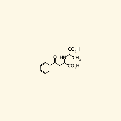 C[C@H](N[C@H](CC(=O)c1ccccc1)C(=O)O)C(=O)O